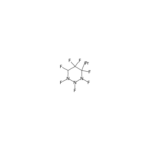 CC(C)C1(F)N(F)N(F)N(F)C(F)C1(F)F